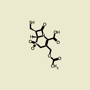 CC(=O)OCC1=C(C(=O)O)N2C(=O)[C@H](CS)[C@H]2S(=O)(=O)C1